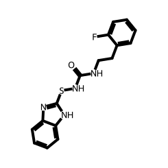 O=C(NCCc1ccccc1F)NSc1nc2ccccc2[nH]1